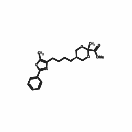 COC(=O)[C@]1(C)OC[C@@H](CCCCc2nc(-c3ccccc3)oc2C)CO1